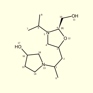 CC(CC1CN(C(C)C)[C@@H](CO)O1)N1CCC(O)C1